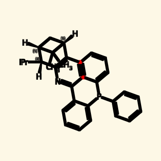 CC(C)[C@H]1c2nc(-c3ccccc3P(c3ccccc3)c3ccccc3)ccc2[C@H]2C[C@@H]1C2(C)C